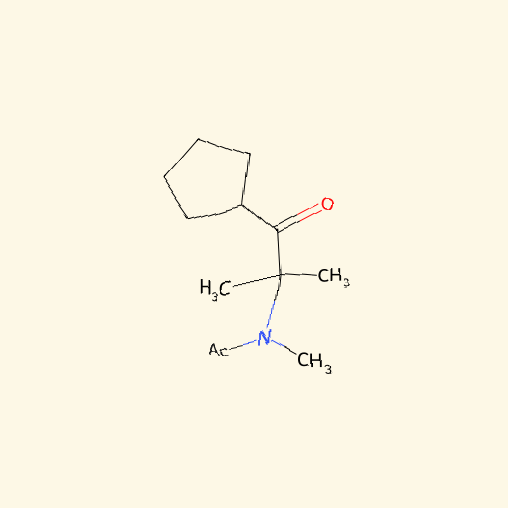 CC(=O)N(C)C(C)(C)C(=O)C1CCCC1